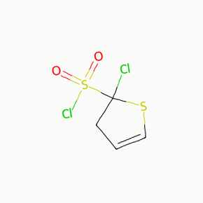 O=S(=O)(Cl)C1(Cl)CC=CS1